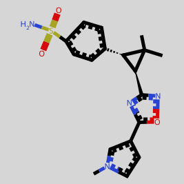 Cn1ccc(-c2nc([C@H]3[C@H](c4ccc(S(N)(=O)=O)cc4)C3(C)C)no2)c1